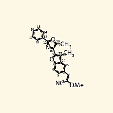 COC(C#N)=Cc1ccc2oc(-c3nc(-c4ccccc4)oc3C)c(C)c2c1